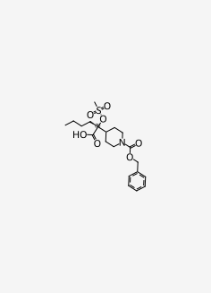 CCCC[C@](OS(C)(=O)=O)(C(=O)O)C1CCN(C(=O)OCc2ccccc2)CC1